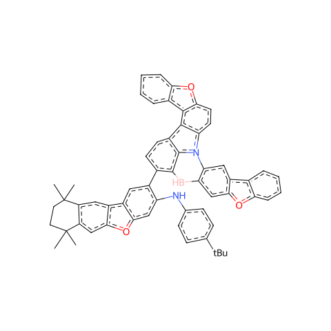 CC(C)(C)c1ccc(Nc2cc3oc4cc5c(cc4c3cc2-c2ccc3c4c6c(ccc4n4c3c2Bc2cc3oc7ccccc7c3cc2-4)oc2ccccc26)C(C)(C)CCC5(C)C)cc1